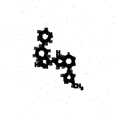 Cc1cn(-c2cccc3[nH]c(-c4n[nH]c5ccc(-c6cnccn6)cc45)cc23)cn1